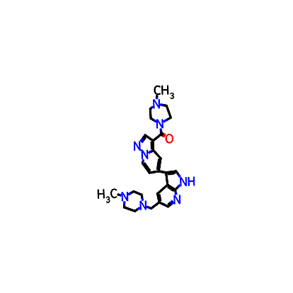 CN1CCN(Cc2cnc3[nH]cc(-c4ccn5ncc(C(=O)N6CCN(C)CC6)c5c4)c3c2)CC1